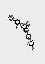 CCc1cnc(N2CCC(n3cc(COc4ccc(-n5cnnn5)cc4F)c(C(F)(F)F)n3)CC2)nc1